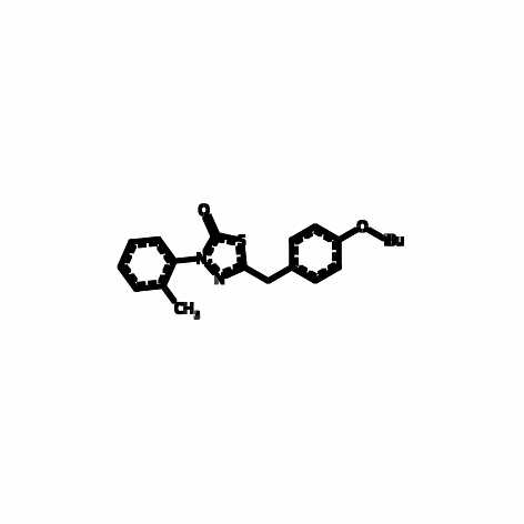 CCC(C)Oc1ccc(Cc2nn(-c3ccccc3C)c(=O)s2)cc1